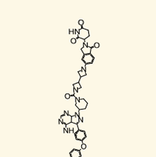 NC1=NC=NC2C1C(c1ccc(Oc3ccccc3)cc1)=NN2C1CCCN(C(=O)N2CC(C3CN(c4ccc5c(c4)CN(C4CCC(=O)NC4=O)C5=O)C3)C2)C1